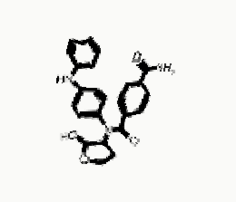 NC(=O)c1ccc(C(=O)N(c2ccc(Nc3ccccc3)cc2)C2CCOC2O)cc1